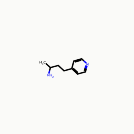 CC(N)CCc1ccncc1